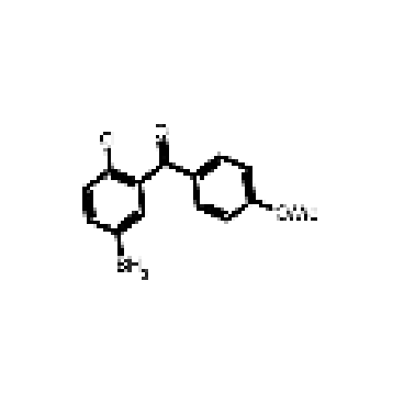 Bc1ccc(Cl)c(C(=O)c2ccc(OC)cc2)c1